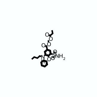 CCCCNc1cc(C(=O)OCOC(=O)CC)cc(S(N)(=O)=O)c1Oc1ccccc1